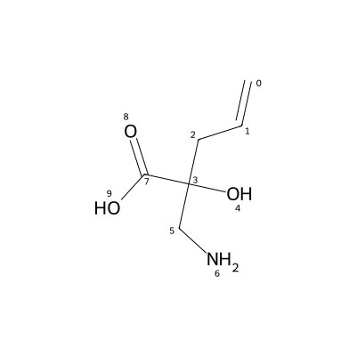 C=CCC(O)(CN)C(=O)O